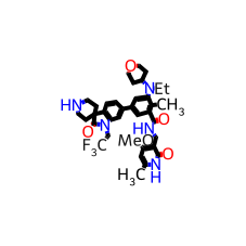 CCN(c1cc(-c2ccc3c(c2)N(CC(F)(F)F)C(=O)C32CCNCC2)cc(C(=O)NCc2c(OC)cc(C)[nH]c2=O)c1C)C1CCOCC1